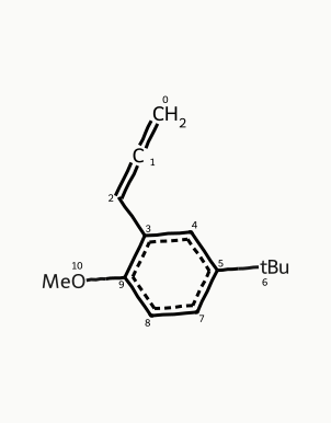 C=C=Cc1cc(C(C)(C)C)ccc1OC